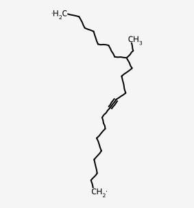 [CH2]CCCCCCCC#CCCCC(CC)CCCCCC[CH2]